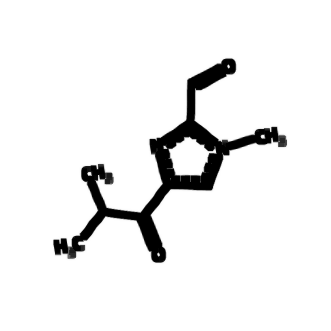 CC(C)C(=O)c1cn(C)c(C=O)n1